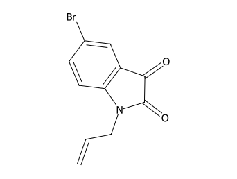 C=CCN1C(=O)C(=O)c2cc(Br)ccc21